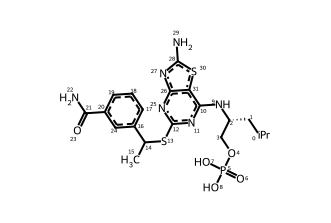 CC(C)C[C@H](COP(=O)(O)O)Nc1nc(SC(C)c2cccc(C(N)=O)c2)nc2nc(N)sc12